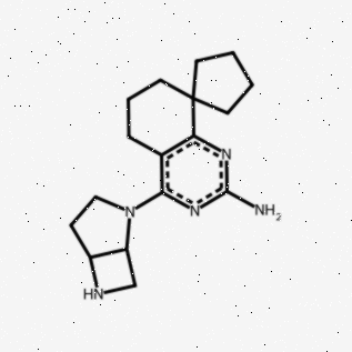 Nc1nc(N2CCC3NCC32)c2c(n1)C1(CCCC1)CCC2